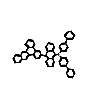 c1ccc(-c2ccc(N(c3ccc(-c4ccccc4)cc3)c3c4ccccc4c(-c4ccc5c(c4)c4ccccc4c4cc6ccccc6cc54)c4ccccc34)cc2)cc1